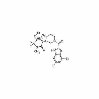 CCOCC1(N(C)C(=O)c2[nH]nc3c2CN(C(=O)c2cc4c(CC)cc(F)cc4[nH]2)CC3)CC1